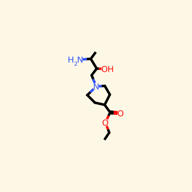 CCOC(=O)C1CCN(CC(O)C(C)N)CC1